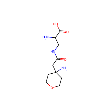 NC(CNC(=O)CC1(N)CCOCC1)C(=O)O